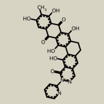 Cc1c(O)cc2c(c1O)C(=O)c1c(O)c3c(c(O)c1C2=O)-c1c(cc2cnn(-c4ccccn4)c(=O)c2c1O)CC3